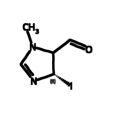 CN1C=N[C@@H](I)C1C=O